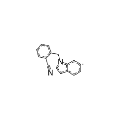 N#Cc1ccccc1Cn1ccc2cc[c]cc21